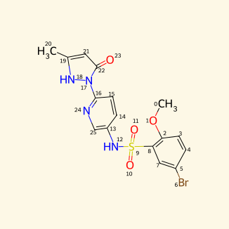 COc1ccc(Br)cc1S(=O)(=O)Nc1ccc(-n2[nH]c(C)cc2=O)nc1